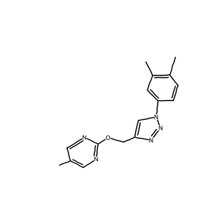 Cc1cnc(OCc2cn(-c3ccc(C)c(C)c3)nn2)nc1